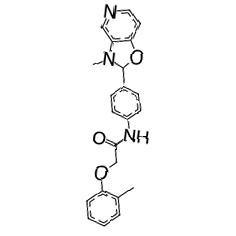 Cc1ccccc1OCC(=O)Nc1ccc(C2Oc3ccncc3N2C)cc1